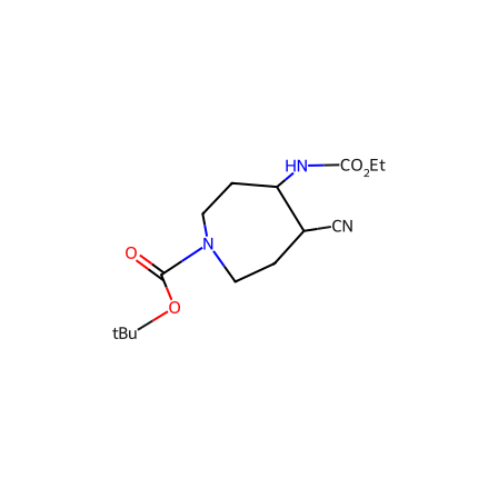 CCOC(=O)NC1CCN(C(=O)OC(C)(C)C)CCC1C#N